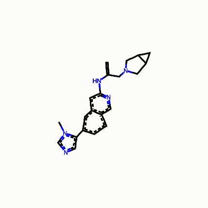 C=C(CN1CC2CC2C1)Nc1cc2cc(-c3cncn3C)ccc2cn1